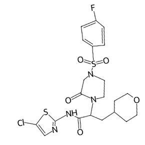 O=C(Nc1ncc(Cl)s1)C(CC1CCOCC1)N1CCN(S(=O)(=O)c2ccc(F)cc2)CC1=O